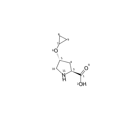 O=C(O)[C@@H]1C[C@@H](OC2CC2)CN1